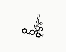 N#C[C@@](c1cccc(F)c1)(C1CCN(Cc2ccccc2)CC1)[C@H]1CCC[C@@H]1NC(=O)OCCCl